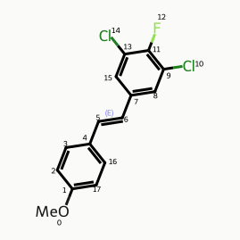 COc1ccc(/C=C/c2cc(Cl)c(F)c(Cl)c2)cc1